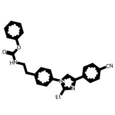 CCc1nc(-c2ccc(C#N)cc2)cn1-c1ccc(CCNC(=O)Oc2ccccc2)cc1